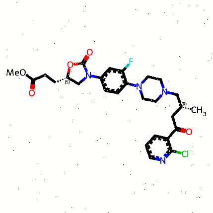 COC(=O)CC[C@H]1CN(c2ccc(N3CCN(C[C@H](C)CC(=O)c4cccnc4Cl)CC3)c(F)c2)C(=O)O1